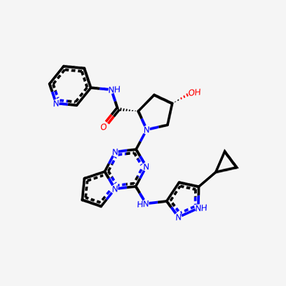 O=C(Nc1cccnc1)[C@@H]1C[C@H](O)CN1c1nc(Nc2cc(C3CC3)[nH]n2)n2cccc2n1